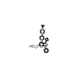 O=C(O)c1cc(N2CCC(N3CCN(C4CC4)CC3)CC2)c2c(C3CCC3)nn(-c3ccccc3)c2n1